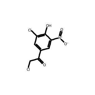 O=C(CCl)c1cc(Cl)c(O)c([N+](=O)[O-])c1